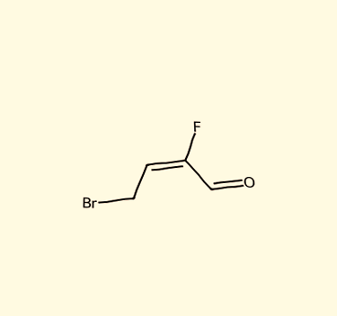 O=C/C(F)=C\CBr